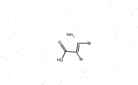 O=C(O)C(Br)=CBr.[InH3]